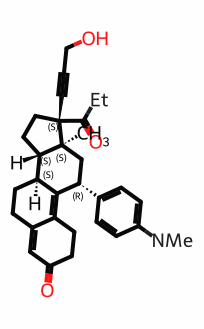 CCC(=O)[C@@]1(C#CCO)CC[C@H]2[C@@H]3CCC4=CC(=O)CCC4=C3[C@@H](c3ccc(NC)cc3)C[C@@]21C